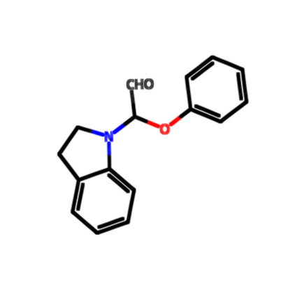 O=CC(Oc1ccccc1)N1CCc2ccccc21